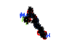 COc1c(F)cc(F)cc1/C(N)=C/C1=C(N)N(C(=O)OC(C)(C)C)CC2CC(Oc3cc(C)c(CN4CCN(c5ccc6c(c5)C(=O)N(C5CCC(=O)NC5=O)C6)CC4)cn3)CN12